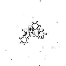 CCCC(Cc1ccccc1)(C(=O)c1ccccc1N1CCOCC1)N(C)C